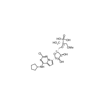 COC[C@](OC[C@H]1O[C@@H](c2ccc3c(NC4CCCC4)nc(Cl)nn23)[C@H](O)[C@@H]1O)(C(=O)O)P(=O)(O)O